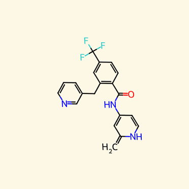 C=C1C=C(NC(=O)c2ccc(C(F)(F)F)cc2Cc2cccnc2)C=CN1